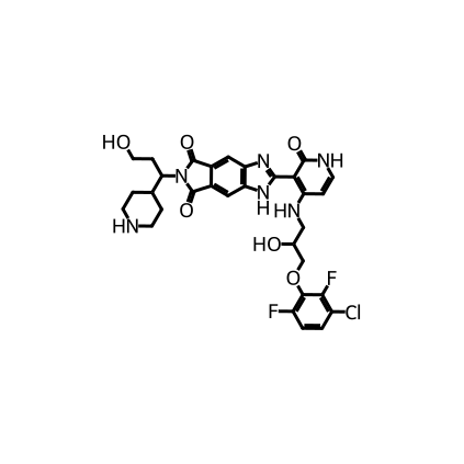 O=C1c2cc3nc(-c4c(NCC(O)COc5c(F)ccc(Cl)c5F)cc[nH]c4=O)[nH]c3cc2C(=O)N1C(CCO)C1CCNCC1